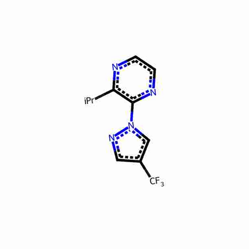 CC(C)c1nccnc1-n1cc(C(F)(F)F)cn1